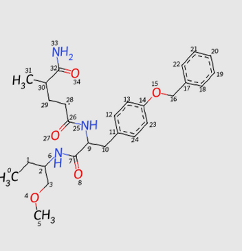 CCC(COC)NC(=O)C(Cc1ccc(OCc2ccccc2)cc1)NC(=O)[CH]CC(C)C(N)=O